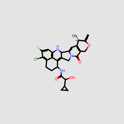 C=C1OCc2c(cc3n(c2=O)CC2=C4c5c(cc(F)c(Cl)c5CCC4NC(=O)C(O)C4CC4)NC23)[C@@H]1N=O